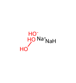 OO.[Na+].[NaH].[OH-]